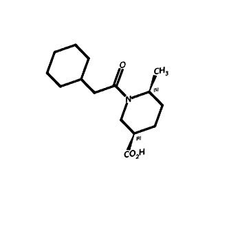 C[C@H]1CC[C@@H](C(=O)O)CN1C(=O)CC1CCCCC1